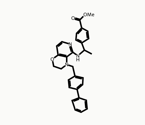 COC(=O)c1ccc(C(C)Nc2nccc3c2N(Cc2ccc(-c4ccccc4)cc2)CCO3)cc1